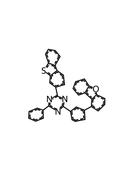 c1ccc(-c2nc(-c3cccc(-c4cccc5oc6ccccc6c45)c3)nc(-c3ccc4c(c3)sc3ccccc34)n2)cc1